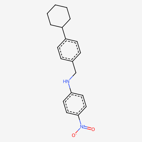 O=[N+]([O-])c1ccc(NCc2ccc(C3CCCCC3)cc2)cc1